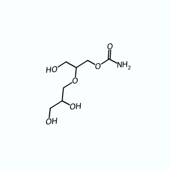 NC(=O)OCC(CO)OCC(O)CO